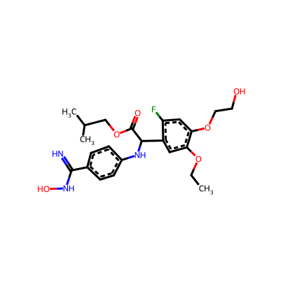 CCOc1cc(C(Nc2ccc(C(=N)NO)cc2)C(=O)OCC(C)C)c(F)cc1OCCO